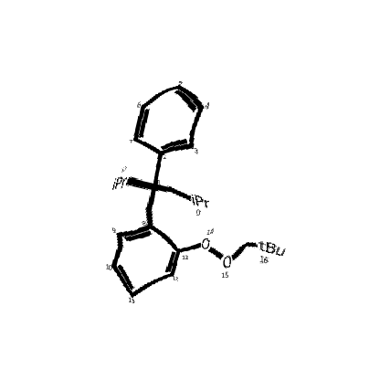 CC(C)C(c1ccccc1)(c1ccccc1OOC(C)(C)C)C(C)C